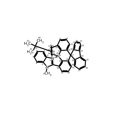 Cn1c2[n+](c3ccccc31)[N+]13c4c(cccc4C4(c5ccccc5-c5ccccc54)c4cccc-2c41)-c1cc(C(C)(C)C)cc[n+]13